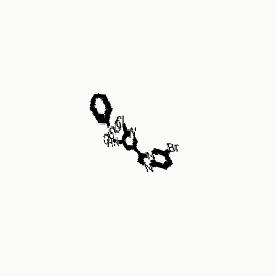 O=S(=O)(Nc1cc(-c2cnc3ccc(Br)cn23)cnc1Cl)c1ccccc1